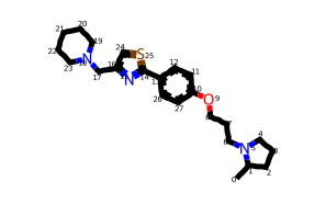 CC1CCCN1CCCOc1ccc(-c2nc(CN3CCCCC3)cs2)cc1